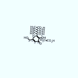 CC(=O)O.CC(=O)O.CC(=O)O.CC(=O)O.CC(=O)O.O=c1cc(CO)occ1O